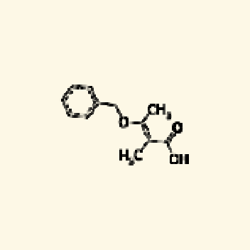 C/C(OCc1ccccc1)=C(/C)C(=O)O